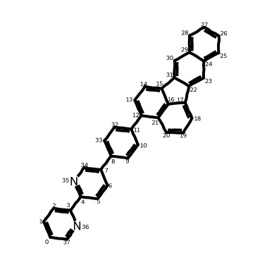 c1ccc(-c2ccc(-c3ccc(-c4ccc5c6c(cccc46)-c4cc6ccccc6cc4-5)cc3)cn2)nc1